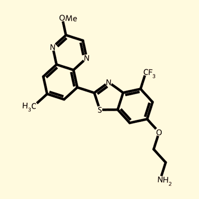 COc1cnc2c(-c3nc4c(C(F)(F)F)cc(OCCN)cc4s3)cc(C)cc2n1